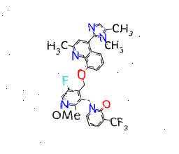 COc1ncc(F)c(COc2cccc3c(-c4ncc(C)n4C)cc(C)nc23)c1Cn1cccc(C(F)(F)F)c1=O